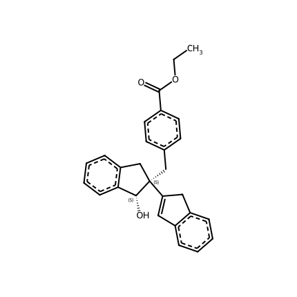 CCOC(=O)c1ccc(C[C@@]2(C3=Cc4ccccc4C3)Cc3ccccc3[C@H]2O)cc1